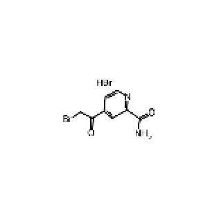 Br.NC(=O)c1cc(C(=O)CBr)ccn1